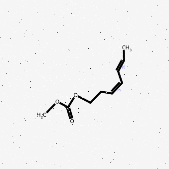 C/C=C/C=C\CCOC(=O)OC